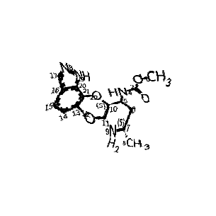 COC(=O)NC(C[C@H](C)N)[C@H]1COc2ccc3cn[nH]c3c2O1